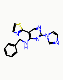 c1ccc(CNc2nc(-n3ccnc3)ncc2-c2nccs2)cc1